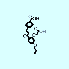 C=CCOc1ccc(C(=O)C=Cc2ccc(C(=O)O)cc2)c(OCC(=O)O)c1